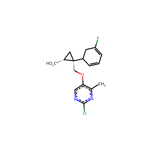 Cc1nc(Cl)ncc1OC[C@@]1(C2C=CC=C(F)C2)C[C@H]1C(=O)O